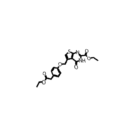 CCOC(=O)Cc1ccc(OCc2csc3nc(C(=O)OCC)[nH]c(=O)c23)cc1